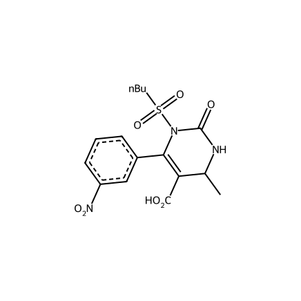 CCCCS(=O)(=O)N1C(=O)NC(C)C(C(=O)O)=C1c1cccc([N+](=O)[O-])c1